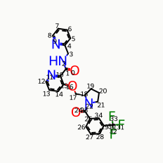 O=C(NCc1ccccn1)c1ncccc1OC[C@H]1CCCN1C(=O)c1cccc(C(F)(F)F)c1